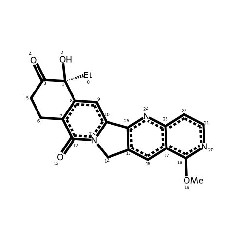 CC[C@@]1(O)C(=O)CCc2c1cc1n(c2=O)Cc2cc3c(OC)nccc3nc2-1